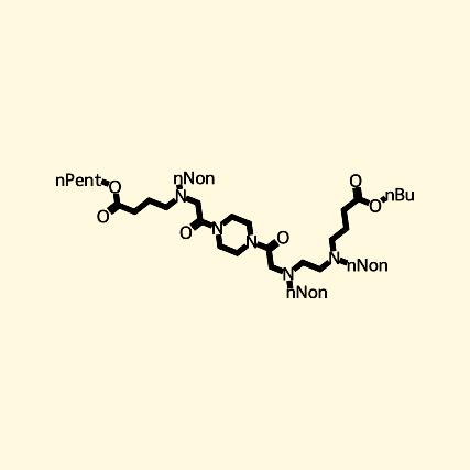 CCCCCCCCCN(CCCC(=O)OCCCC)CCN(CCCCCCCCC)CC(=O)N1CCN(C(=O)CN(CCCCCCCCC)CCCC(=O)OCCCCC)CC1